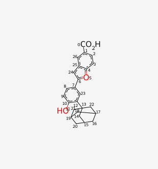 O=C(O)c1ccc2oc(-c3ccc(O)c(C45CC6CC(CC(C6)C4)C5)c3)cc2c1